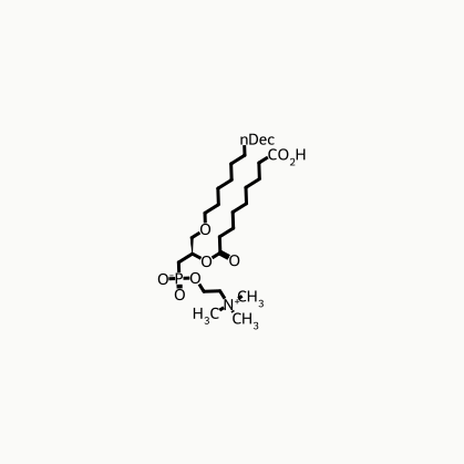 CCCCCCCCCCCCCCCCOC[C@H](CP(=O)([O-])OCC[N+](C)(C)C)OC(=O)CCCCCCCC(=O)O